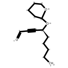 CCCCC[C@@H](C#CC=O)OC1CCCCO1